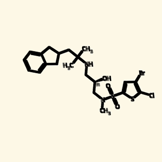 CN(C[C@H](O)CNC(C)(C)CC1Cc2ccccc2C1)S(=O)(=O)c1cc(Br)c(Cl)s1